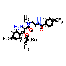 CN(CCNC(=O)c1ccc(C(F)(F)F)cc1)C(=O)[C@@H](N)[C@H](O[Si](C)(C)C(C)(C)C)c1ccc(C(F)(F)F)cc1